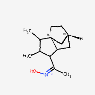 C/C(=N/O)C1C(C)C(C)[C@]23CC[C@H](CC12)C3